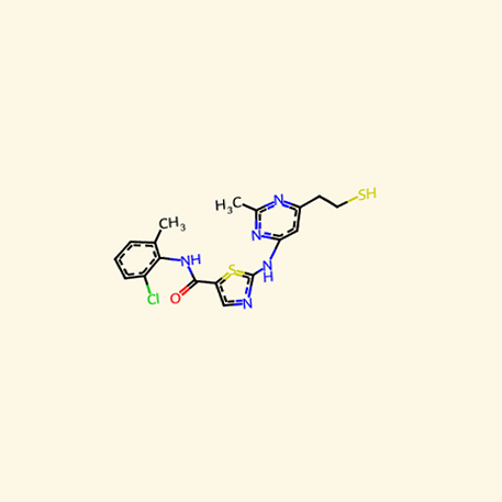 Cc1nc(CCS)cc(Nc2ncc(C(=O)Nc3c(C)cccc3Cl)s2)n1